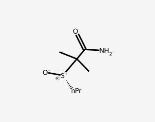 CCC[S@+]([O-])C(C)(C)C(N)=O